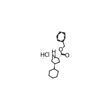 Cl.O=C(OCc1ccccc1)[C@@H]1C[C@@H](C2CCCCC2)CN1